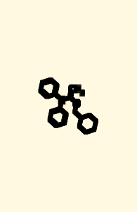 C=C(OCC1CCCCC1)N(c1ccccc1)c1ccccc1